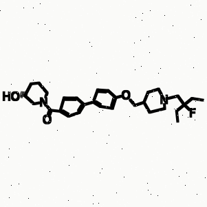 CCC(F)(CC)CN1CCC(COc2ccc(-c3ccc(C(=O)N4CCC[C@@H](O)C4)cc3)cc2)CC1